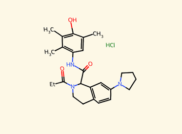 CCC(=O)N1CCc2ccc(N3CCCC3)cc2C1C(=O)Nc1cc(C)c(O)c(C)c1C.Cl